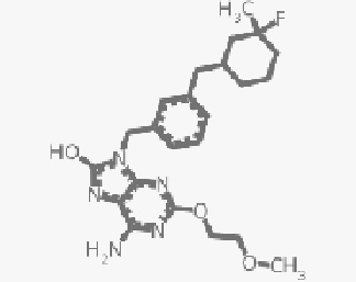 COCCOc1nc(N)c2nc(O)n(Cc3cccc(CC4CCCC(C)(F)C4)c3)c2n1